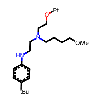 CCOCCN(CCCCOC)CCNc1ccc(C(C)(C)C)cc1